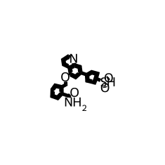 NC(=O)c1ccccc1COc1cc(-c2ccc([SH](=O)=O)cc2)cc2ncccc12